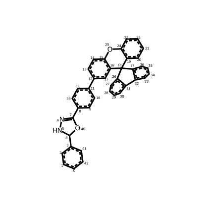 c1ccc(C2NN=C(c3ccc(-c4ccc5c(c4)C4(c6ccccc6O5)c5ccccc5-c5ccccc54)cc3)O2)cc1